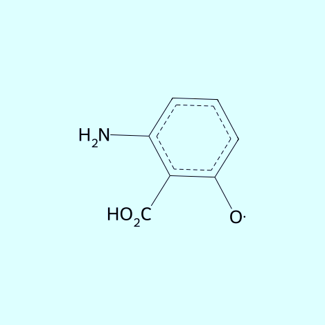 Nc1cccc([O])c1C(=O)O